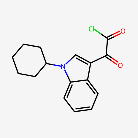 O=C(Cl)C(=O)c1cn(C2CCCCC2)c2ccccc12